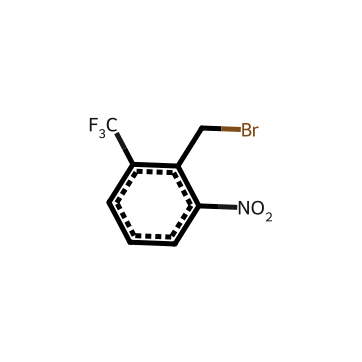 O=[N+]([O-])c1cccc(C(F)(F)F)c1CBr